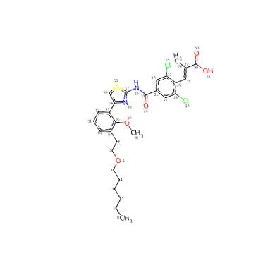 CCCCCCOCCc1cccc(-c2csc(NC(=O)c3cc(Cl)c(/C=C(\C)C(=O)O)c(Cl)c3)n2)c1OC